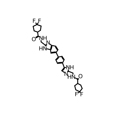 O=C(NCc1ncc(-c2ccc(-c3ccc4nc(CNC(=O)C5CCC(F)(F)CC5)[nH]c4c3)cc2)[nH]1)C1CCC(F)(F)CC1